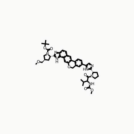 COC[C@@H]1C[C@@H](c2nc3ccc4cc5c(cc4c3[nH]2)OCc2cc(-c3cnc([C@@H]4CCCN4C(=O)C(NC(=O)OC)C(C)C)[nH]3)ccc2-5)N(C(=O)OC(C)(C)C)C1